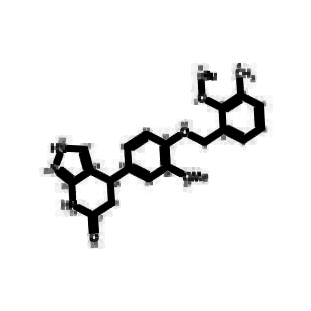 CCCCOc1c(C)cccc1COc1ccc(C2CC(=O)Nc3n[nH]cc32)cc1OC